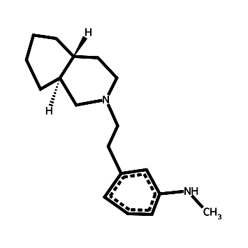 CNc1cccc(CCN2CC[C@H]3CCCC[C@@H]3C2)c1